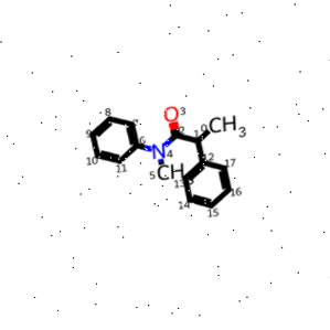 CC(C(=O)N(C)c1ccccc1)c1ccccc1